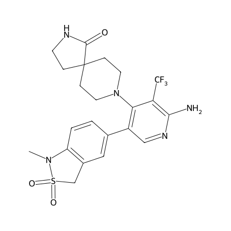 CN1c2ccc(-c3cnc(N)c(C(F)(F)F)c3N3CCC4(CCNC4=O)CC3)cc2CS1(=O)=O